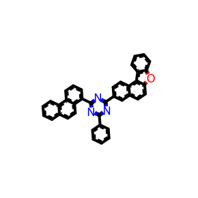 c1ccc(-c2nc(-c3ccc4c(ccc5oc6ccccc6c54)c3)nc(-c3cccc4c3ccc3ccccc34)n2)cc1